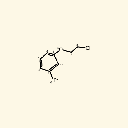 CC(C)c1c[c]cc(OCCCl)c1